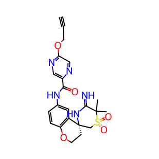 C#CCOc1cnc(C(=O)Nc2ccc3c(c2)[C@]2(CCO3)CS(=O)(=O)C(C)(C)C(=N)N2)cn1